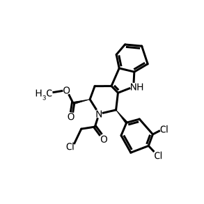 COC(=O)[C@H]1Cc2c([nH]c3ccccc23)[C@@H](c2ccc(Cl)c(Cl)c2)N1C(=O)CCl